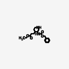 CCOC(=O)CCC1CCNCC1NC(=O)OCc1ccccc1